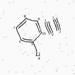 C#C.C#C.[Li][c]1ccccc1